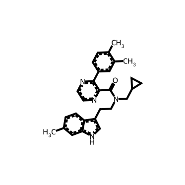 Cc1ccc2c(CCN(CC3CC3)C(=O)c3nccnc3-c3ccc(C)c(C)c3)c[nH]c2c1